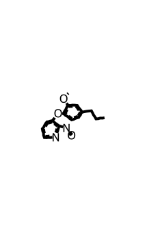 CCCc1ccc(Oc2cccnc2N=O)c(OC)c1